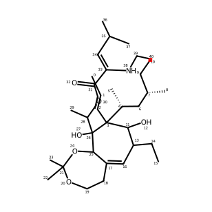 C/C=C/C1([C@H](C)C[C@@H](C)CC)C(O)C(CC)C=C2CCOC(C)(C)OC2C1(O)C(C)OC(=O)/C(=C/C(C)C)NCC